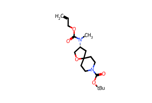 C=CCOC(=O)N(C)[C@H]1COC2(CCN(C(=O)OC(C)(C)C)CC2)C1